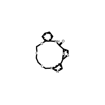 O=C1Nc2ccccc2OCCCCCCn2cc(cn2)-c2nc1cs2